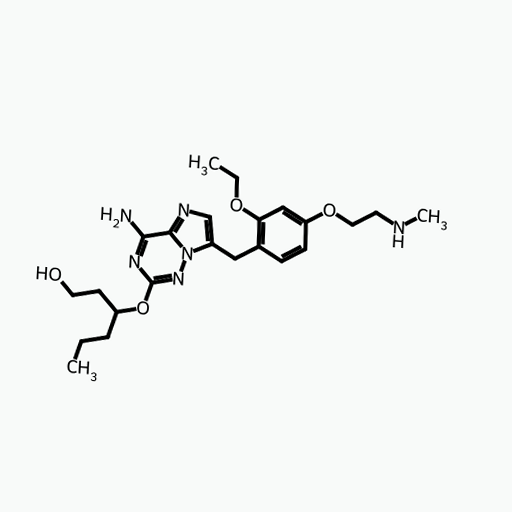 CCCC(CCO)Oc1nc(N)c2ncc(Cc3ccc(OCCNC)cc3OCC)n2n1